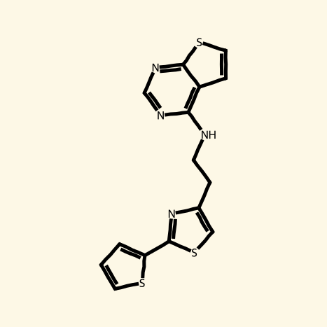 c1csc(-c2nc(CCNc3ncnc4sccc34)cs2)c1